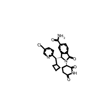 NC(=O)c1ccc2c(c1)C([C@@H](c1ccc(Cl)cn1)C1CCC1)N([C@H]1CCC(=O)NC1=O)C2=O